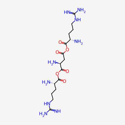 N=C(N)NCCC[C@H](N)C(=O)OC(=O)C[C@H](N)C(=O)OC(=O)[C@@H](N)CCCNC(=N)N